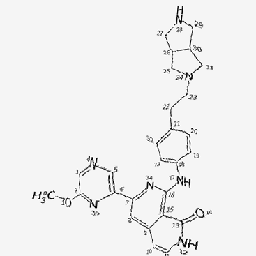 COc1cncc(-c2cc3cc[nH]c(=O)c3c(Nc3ccc(CCN4CC5CNCC5C4)cc3)n2)n1